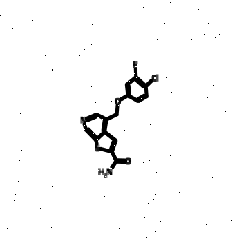 NC(=O)c1cc2c(COc3ccc(Cl)c(F)c3)cncc2s1